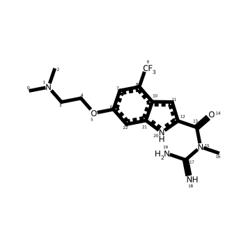 CN(C)CCOc1cc(C(F)(F)F)c2cc(C(=O)N(C)C(=N)N)[nH]c2c1